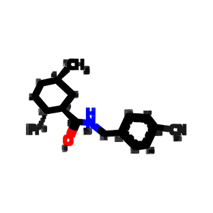 CC(C)[C@@H]1CC[C@@H](C)C[C@H]1C(=O)NCc1ccc(C#N)cc1